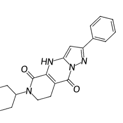 O=C1c2[nH]c3cc(-c4ccccc4)nn3c(=O)c2CCN1C1CCCCC1